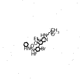 CCn1c(=O)c(-c2cc(NC(=O)Nc3ccccc3)c(F)cc2Br)cc2cnc(NCC[S+](C)[O-])cc21